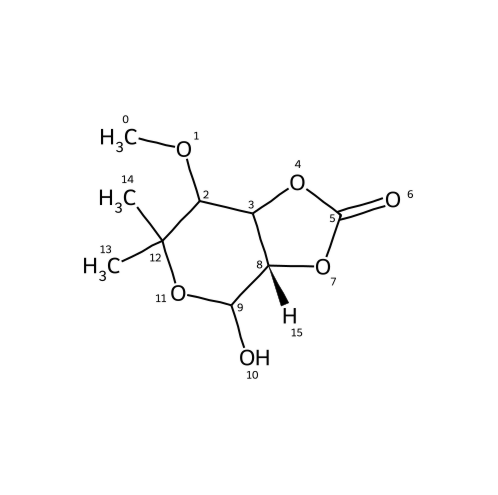 COC1C2OC(=O)O[C@@H]2C(O)OC1(C)C